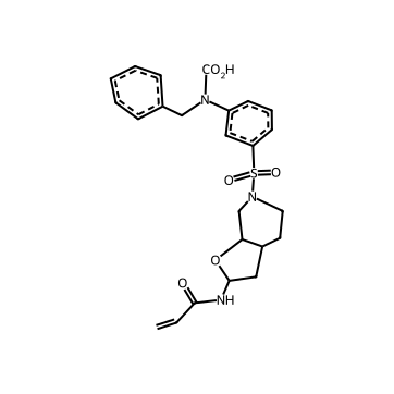 C=CC(=O)NC1CC2CCN(S(=O)(=O)c3cccc(N(Cc4ccccc4)C(=O)O)c3)CC2O1